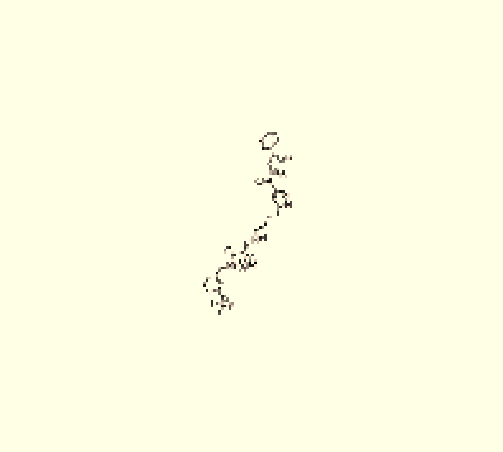 N=N/C(=C\NCCCCn1cc(C(=O)NC[C@H](O)c2ccccc2)nn1)C(=O)NCc1cccc(OC(F)(F)F)c1